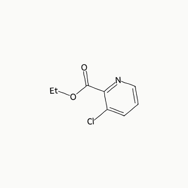 CCOC(=O)c1ncccc1Cl